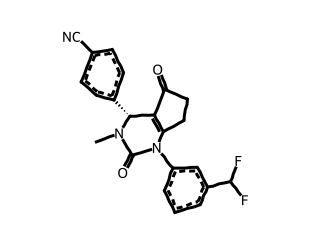 CN1C(=O)N(c2cccc(C(F)F)c2)C2=C(C(=O)CC2)[C@H]1c1ccc(C#N)cc1